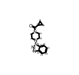 O=C(C1CC1)N1CCN(n2nnc3ccccc32)CC1